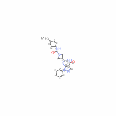 COc1ccc(NC(=O)N2CC(c3nc4c(cnn4-c4ccccc4)c(=O)[nH]3)C2)cc1